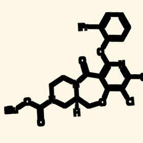 CC(C)c1ccccc1Oc1nc(Cl)c(Cl)c2c1C(=O)N1CCN(C(=O)OC(C)(C)C)C[C@@H]1CO2